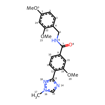 COc1ccc(CNC(=O)c2[c]cc(-c3ncn(C)n3)c(OC)c2)c(OC)c1